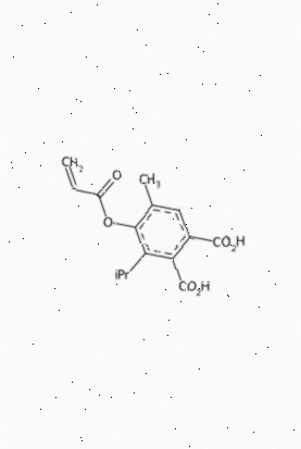 C=CC(=O)Oc1c(C)cc(C(=O)O)c(C(=O)O)c1C(C)C